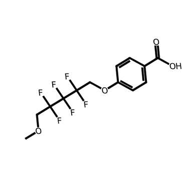 COCC(F)(F)C(F)(F)C(F)(F)COc1ccc(C(=O)O)cc1